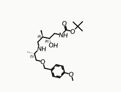 COc1ccc(COC[C@H](C)NC[C@@H](C)[C@@H](O)CNC(=O)OC(C)(C)C)cc1